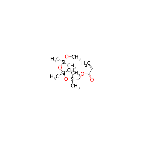 C=CC(=O)OC[Si](C)(C)O[Si](C)(C)O[Si](C)(C)OC